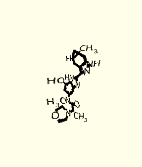 CC(C(=O)N(C)c1cc(O)c2[nH]c(-c3n[nH]c4c3C[C@@H]3C[C@]3(C)C4)nc2c1)N1CCOCC1